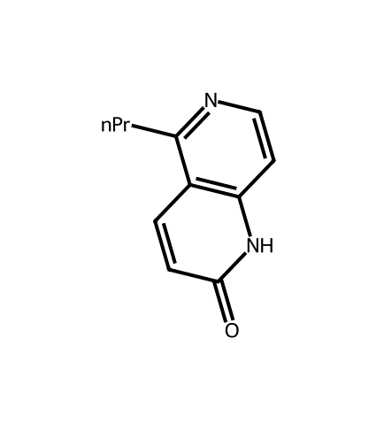 CCCc1nccc2[nH]c(=O)ccc12